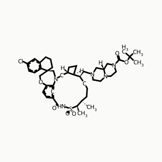 C[C@@H]1[C@@H](C)CCC[C@H](CN2CCN3CCN(C(=O)OC(C)(C)C)C[C@H]3C2)[C@@H]2CC[C@H]2CN2C[C@@]3(CCCc4cc(Cl)ccc43)COc3ccc(cc32)C(=O)NS1(=O)=O